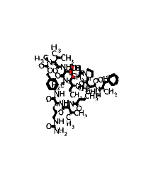 CCCC(=O)N[C@H](C(=O)N[C@@H](CCCNC(N)=O)C(=O)Nc1ccc(COC(=O)N(C)[C@H](C(=O)N[C@H](C(=O)N(C)[C@@H]([C@@H](C)CC)[C@@H](CC(=O)N2CCC[C@H]2[C@H](OC)[C@@H](C)C(=O)N[C@H](C)[C@@H](O)c2ccccc2)OC)C(C)C)C(C)C)cc1)C(C)C